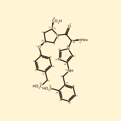 CCCCCC[C@H](C(=O)N1C[C@@H](Oc2ccc(CC(=O)O)cc2)C[C@H]1C(=O)O)n1cnc(NCc2ccccc2S(=O)(=O)O)c1